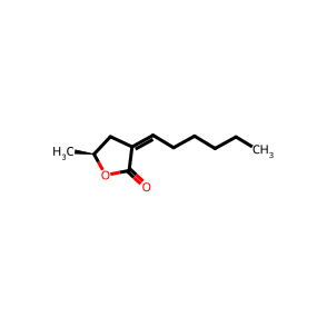 CCCCC/C=C1/C[C@H](C)OC1=O